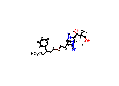 CC(C)(CO)C(O)C1C2CCC(C(CCSCCC(CC(=O)O)c3ccccc3)[N+]2=[N-])[N+]1=[N-]